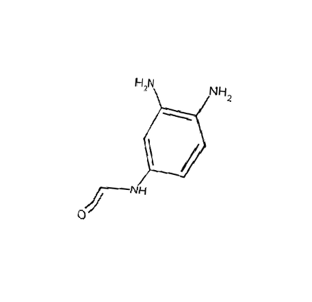 Nc1ccc(NC=O)cc1N